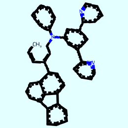 C/C=C\C(=C/CN(c1ccccc1)c1cc(-c2ccccn2)cc(-c2ccccn2)c1)c1ccc2c3c(cccc13)-c1ccccc1-2